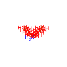 NO.O=S(=O)(O)O.O=S(=O)(O)O.O=S(=O)(O)O.O=S(=O)(O)O.O=S(=O)(O)O.O=S(=O)(O)O.O=S(=O)(O)O.O=S(=O)(O)O